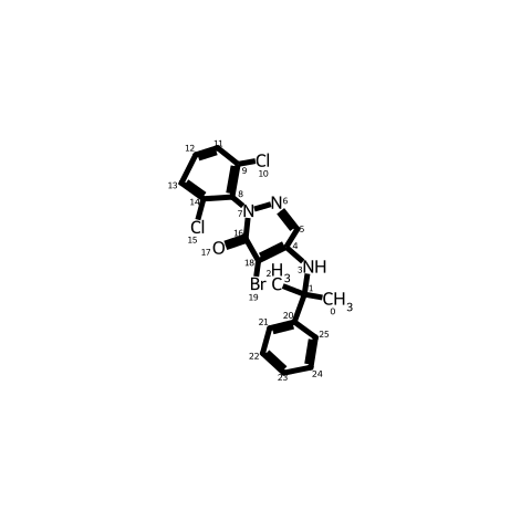 CC(C)(Nc1cnn(-c2c(Cl)cccc2Cl)c(=O)c1Br)c1ccccc1